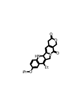 CCC1=C2Cn3c(cc4c(c3=O)COC(=O)C4)C2Nc2ccc(OC(C)C)cc21